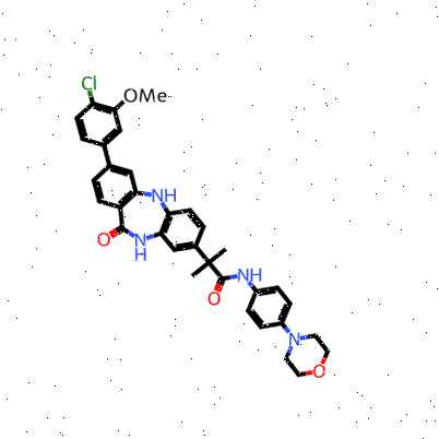 COc1cc(-c2ccc3c(c2)Nc2ccc(C(C)(C)C(=O)Nc4ccc(N5CCOCC5)cc4)cc2NC3=O)ccc1Cl